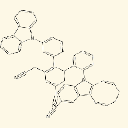 N#CCC1=C(c2cccc(-n3c4ccccc4c4ccccc43)c2)C(c2ccccc2-n2c3c(c4cc(C#N)ccc42)/C=C\CC/C=C\3)CC(C#N)=C1